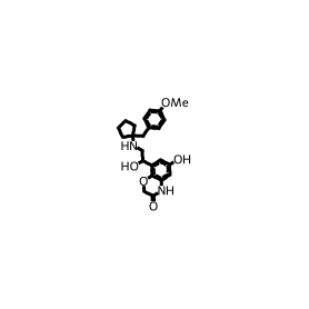 COc1ccc(CC2(NCC(O)c3cc(O)cc4c3OCC(=O)N4)CCCC2)cc1